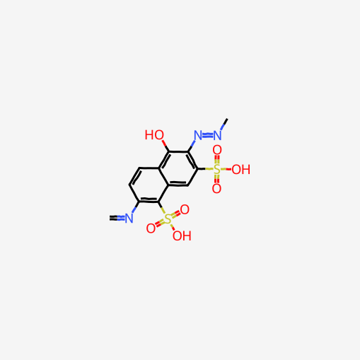 C=Nc1ccc2c(O)c(N=NC)c(S(=O)(=O)O)cc2c1S(=O)(=O)O